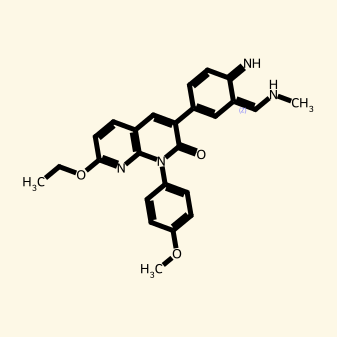 CCOc1ccc2cc(C3=C/C(=C/NC)C(=N)C=C3)c(=O)n(-c3ccc(OC)cc3)c2n1